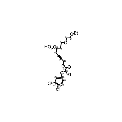 CCOCCOCCC(=CC#CCOC(=O)C(Cl)Oc1ccc(Cl)c(Cl)c1)C(=O)O